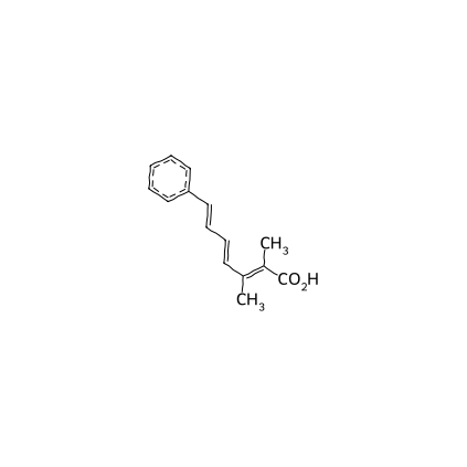 CC(C=CC=Cc1ccccc1)=C(C)C(=O)O